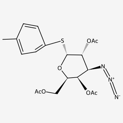 CC(=O)OC[C@H]1O[C@H](Sc2ccc(C)cc2)[C@H](OC(C)=O)[C@@H](N=[N+]=[N-])[C@H]1OC(C)=O